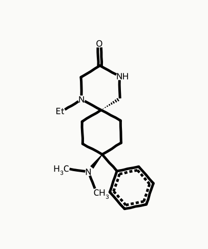 CCN1CC(=O)NC[C@]12CC[C@](c1ccccc1)(N(C)C)CC2